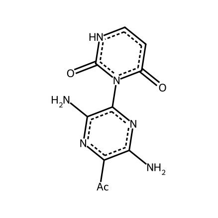 CC(=O)c1nc(N)c(-n2c(=O)cc[nH]c2=O)nc1N